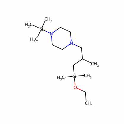 CCO[Si](C)(C)CC(C)CN1CCN([Si](C)(C)C)CC1